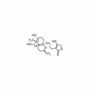 C=C1CC[C@@H]2[C@](C)(CO)[C@H](O)CC[C@@]2(C)[C@@H]1CCC1=C(O)COC1=O